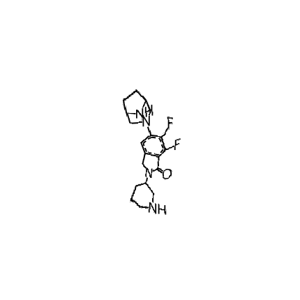 O=C1c2c(cc(N3CC4CCC(C3)N4)c(F)c2F)CN1C1CCCNC1